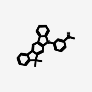 CBc1cccc(-n2c3ccccc3c3cc4c(cc32)C(C)(C)c2ccccc2-4)c1